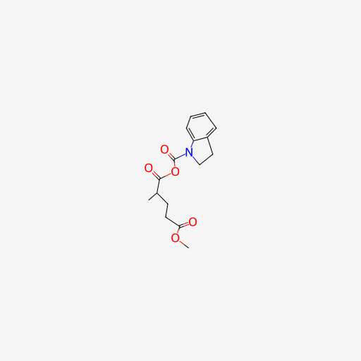 COC(=O)CCC(C)C(=O)OC(=O)N1CCc2ccccc21